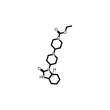 CCOC(=O)N1CCC(N2CCC(N3C(=O)NC4CCCC[C@@H]43)CC2)CC1